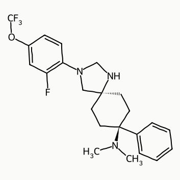 CN(C)[C@]1(c2ccccc2)CC[C@]2(CC1)CN(c1ccc(OC(F)(F)F)cc1F)CN2